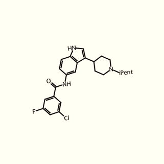 CCCC(C)N1CCC(c2c[nH]c3ccc(NC(=O)c4cc(F)cc(Cl)c4)cc23)CC1